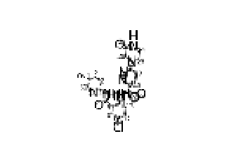 Cc1ccc(NC(=O)c2cc(Cl)ccc2NC(=O)c2ccc(N3CCNC(=O)C3)nn2)nc1.O